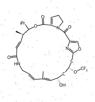 CC1=C\[C@@H](O)C[C@@H](OC(F)(F)F)Cc2nc(co2)C(=O)N2CCC=C2C(=O)OC(C(C)C)[C@H](C)/C=C/C(=O)NC\C=C\1